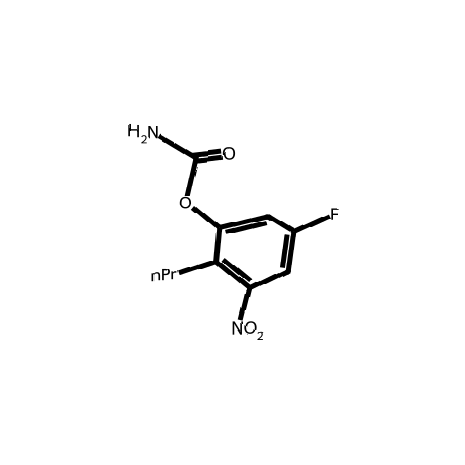 CCCc1c(OC(N)=O)cc(F)cc1[N+](=O)[O-]